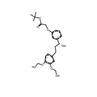 CC(C)(C)OC(=O)COc1cccc([C@H](O)CCc2ccc(OCO)c(OCO)c2)c1